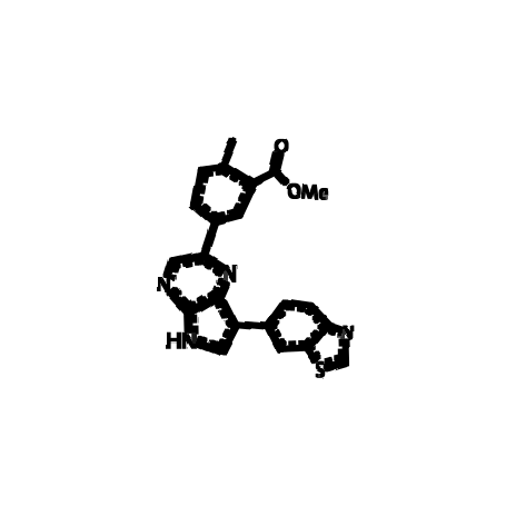 COC(=O)c1cc(-c2cnc3[nH]cc(-c4ccc5ncsc5c4)c3n2)ccc1C